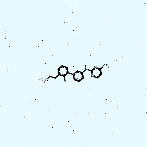 Cc1c(CCC(=O)O)cccc1-c1cccc(Nc2nccc(C(F)(F)F)n2)c1